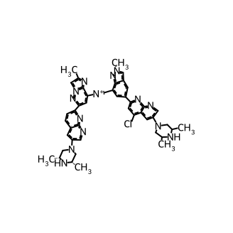 Cc1cn2nc(-c3ccc4cc(N5C[C@@H](C)N[C@@H](C)C5)cnc4n3)cc([N+]#Cc3cc(-c4cc(Cl)c5cc(N6CC(C)NC(C)C6)cnc5n4)cc4cn(C)nc34)c2n1